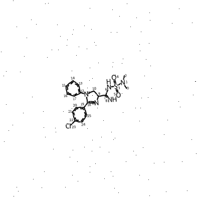 CN(C)S(=O)(=O)NC(=N)C1CN(c2ccccc2)C(c2ccc(Cl)cc2)=N1